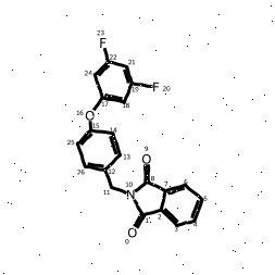 O=C1c2ccccc2C(=O)N1Cc1ccc(Oc2cc(F)cc(F)c2)cc1